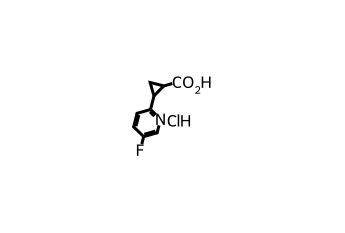 Cl.O=C(O)C1CC1c1ccc(F)cn1